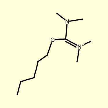 CCCCCOC(N(C)C)=[N+](C)C